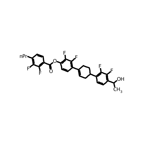 CCCc1ccc(C(=O)Oc2ccc(C3=CCC(c4ccc(C(C)O)c(F)c4F)CC3)c(F)c2F)c(F)c1F